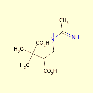 CC(=N)NCC(C(=O)O)C(C)(C)C(=O)O